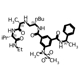 CCCC[C@@H](CN[C@@H](C)C(=O)N[C@H](C(=O)NCC)C(C)C)NC(=O)c1cc(C(=O)N[C@H](C)c2ccccc2)cc(N(C)S(C)(=O)=O)c1